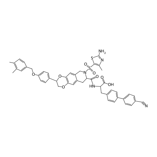 Cc1ccc(COc2ccc(C3COc4cc5c(cc4O3)CN(S(=O)(=O)c3sc(N)nc3C)C(C(=O)NC(Cc3ccc(-c4ccc(C#N)cc4)cc3)C(=O)O)C5)cc2)cc1C